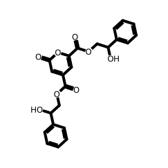 O=C(OCC(O)c1ccccc1)c1cc(C(=O)OCC(O)c2ccccc2)oc(=O)c1